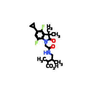 CC(CNC(=O)CN1C(=O)C(C)(C)c2c(F)c(C3CC3)cc(F)c21)C(C)C(=O)O